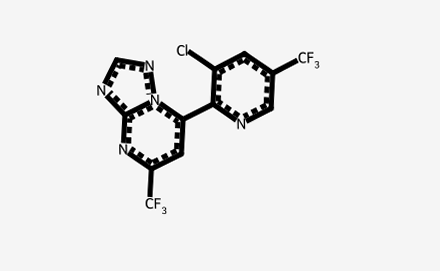 FC(F)(F)c1cnc(-c2cc(C(F)(F)F)nc3ncnn23)c(Cl)c1